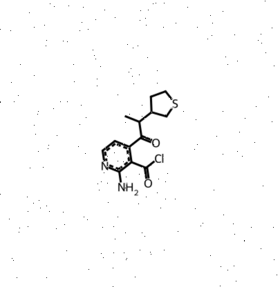 CC(C(=O)c1ccnc(N)c1C(=O)Cl)C1CCSC1